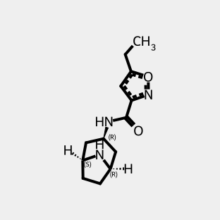 CCc1cc(C(=O)N[C@H]2C[C@H]3CC[C@@H](C2)N3)no1